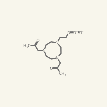 CC(=O)CN1CCN(CCN=[N+]=[N-])CCN(CC(C)=O)CC1